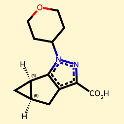 O=C(O)c1nn(C2CCOCC2)c2c1C[C@H]1C[C@@H]21